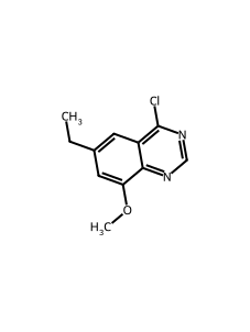 CCc1cc(OC)c2ncnc(Cl)c2c1